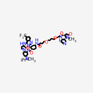 CC(C)N(C)[C@@H]1CC[C@H](N2CC[C@H](Nc3ncnc4ccc(C(F)(F)F)cc34)C2=O)[C@H](NC(=O)[C@H]2CC[C@@H](NC(=O)CCCOCCCCOCCNC(=O)[C@H]3CC(=O)N(C)[C@@H]3c3cccnc3)CC2)C1